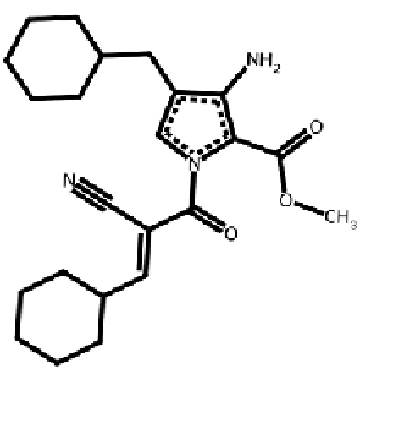 COC(=O)c1c(N)c(CC2CCCCC2)cn1C(=O)C(C#N)=CC1CCCCC1